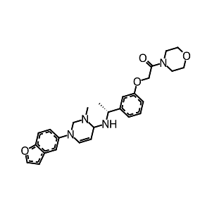 C[C@@H](NC1C=CN(c2ccc3occc3c2)CN1C)c1cccc(OCC(=O)N2CCOCC2)c1